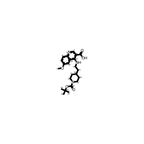 COc1ccc2ncc(C(=O)O)c(NCCC3CCN(C(=O)OC(C)(C)C)CC3)c2c1